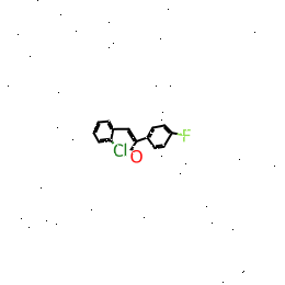 O=CC(=Cc1ccccc1Cl)c1ccc(F)cc1